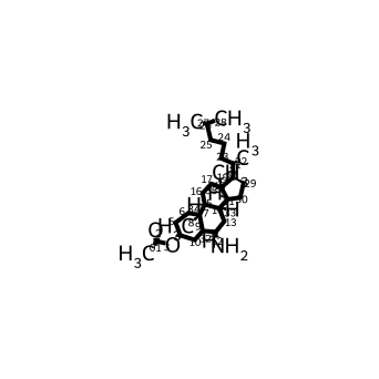 CC(=O)O[C@H]1CC[C@@]2(C)[C@H](C1)[C@H](N)C[C@@H]1[C@@H]2CC[C@]2(C)[C@@H]([C@H](C)CCCC(C)C)CC[C@@H]12